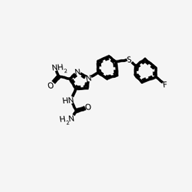 NC(=O)Nc1cn(-c2ccc(Sc3ccc(F)cc3)cc2)nc1C(N)=O